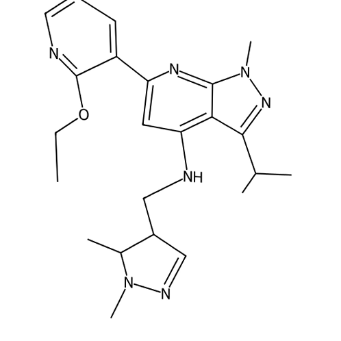 CCOc1ncccc1-c1cc(NCC2C=NN(C)C2C)c2c(C(C)C)nn(C)c2n1